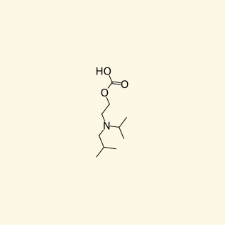 CC(C)CN(CCOC(=O)O)C(C)C